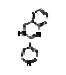 c1ccc2c(c1)CNC(c1ccncc1)=N2